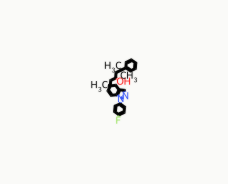 CC1(CC(O)CC(C)(C)c2ccccc2)C=Cc2c(cnn2-c2ccc(F)cc2)C1